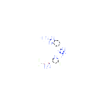 Cn1c(N)nc2cc(-c3nnn(Cc4ncc(-c5nnc(C(F)F)o5)cc4F)n3)ccc21